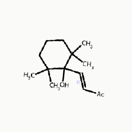 CC(=O)/C=C/C1(O)C(C)(C)CCCC1(C)C